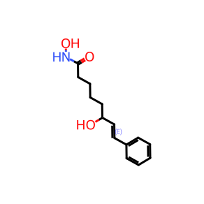 O=C(CCCCC(O)/C=C/c1ccccc1)NO